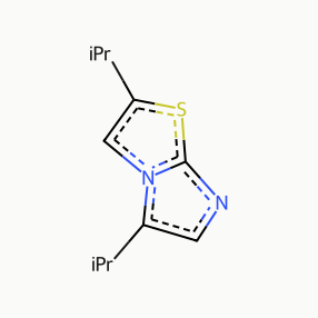 CC(C)c1cn2c(C(C)C)cnc2s1